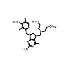 COCCN(CCOC)CC1CN(Cc2ncc(C)c(OC)c2C)c2nc(N)nc(Cl)c21